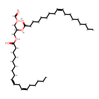 CCCCC/C=C\C/C=C\CCCCCCCC(=O)OCC(COC=O)OC(=O)CCCCCCC/C=C\CCCCCCCC